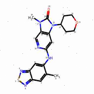 Cc1cc2nsnc2cc1Nc1cc2c(cn1)n(C)c(=O)n2C1CCOCC1